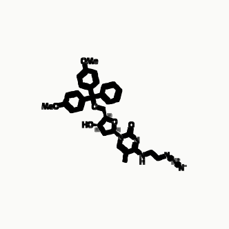 COc1ccc(C(OC[C@H]2O[C@@H](n3cc(C)c(NCCN=[N+]=[N-])nc3=O)C[C@@H]2O)(c2ccccc2)c2ccc(OC)cc2)cc1